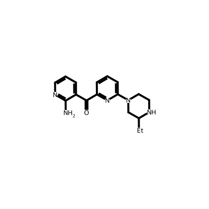 CCC1CN(c2cccc(C(=O)c3cccnc3N)n2)CCN1